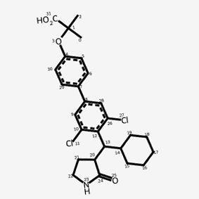 CC(C)(Oc1ccc(-c2cc(Cl)c(C(C3CCCCC3)C3CCNC3=O)c(Cl)c2)cc1)C(=O)O